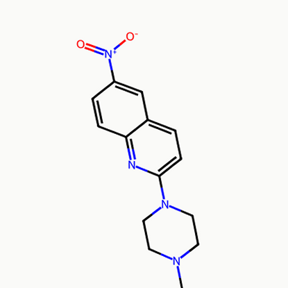 CCN1CCN(c2ccc3cc([N+](=O)[O-])ccc3n2)CC1